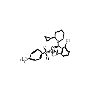 Cc1ccc(S(=O)(=O)N/N=C(\c2c(Cl)cccc2Cl)N2CCCCC2C2CC2)cc1